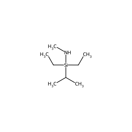 CC[Si](CC)(NC)C(C)C